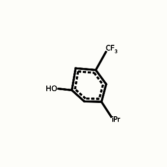 CC(C)c1cc(O)cc(C(F)(F)F)c1